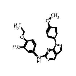 CCOc1ccc(Nc2ncc3cnn(-c4ccc(OC)cc4)c3n2)cc1O